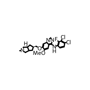 COc1cc2c(Nc3ccc(Cl)c(Cl)c3F)ncnc2cc1OC[C@H]1CC2CN(C)C[C@H]2C1